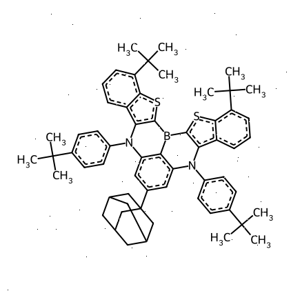 CC(C)(C)c1ccc(N2c3cc(C45CC6CC(CC(C6)C4)C5)cc4c3B(c3sc5c(C(C)(C)C)cccc5c32)c2sc3c(C(C)(C)C)cccc3c2N4c2ccc(C(C)(C)C)cc2)cc1